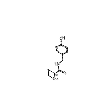 N#Cc1ccc(CNC(=O)[C@@H]2CCN2)cc1